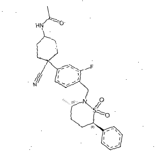 CC(=O)NC1CCC(C#N)(c2ccc(CN3[C@@H](C)CC[C@H](c4ccccc4)S3(=O)=O)c(F)c2)CC1